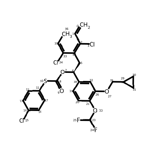 C=C/C(Cl)=C(C[C@H](OC(=O)Sc1ccc(Cl)cc1)c1ccc(OC(F)F)c(OCC2CC2)c1)\C(Cl)=C/C